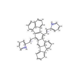 C(=C\c1c2cc3c4ccccc4c4cccc(c2c(/C=C/c2ccccn2)c2c5cccc6cccc(c12)c65)c43)/c1ccccn1